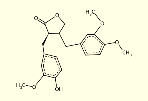 COc1cc(C[C@H]2C(=O)OCC2Cc2ccc(OC)c(OC)c2)ccc1O